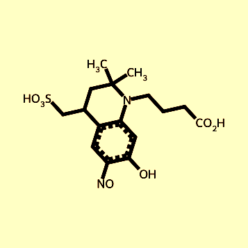 CC1(C)CC(CS(=O)(=O)O)c2cc(N=O)c(O)cc2N1CCCC(=O)O